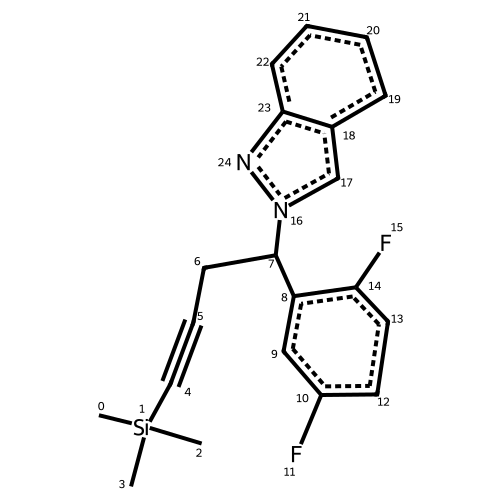 C[Si](C)(C)C#CCC(c1cc(F)ccc1F)n1cc2ccccc2n1